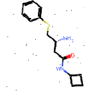 N[C@@H](CSc1ccccc1)CC(=O)NC1CCC1